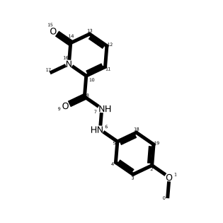 COc1ccc(NNC(=O)c2cccc(=O)n2C)cc1